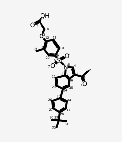 CC(=O)c1cn(S(=O)(=O)c2ccc(OCC(=O)O)c(C)c2)c2ccc(-c3ccc(C(C)(C)C)cc3)cc12